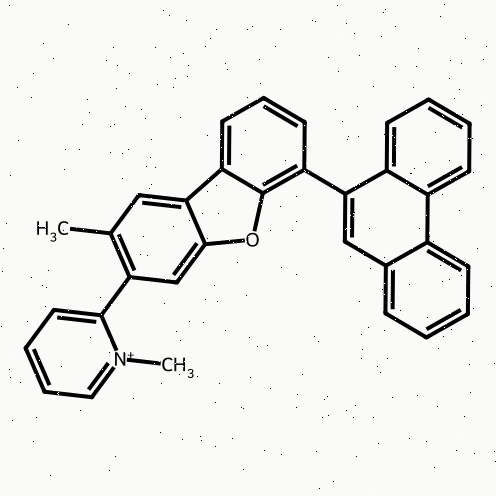 Cc1cc2c(cc1-c1cccc[n+]1C)oc1c(-c3cc4ccccc4c4ccccc34)cccc12